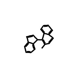 Cc1ccc2ccccc2c1C1C=Cc2ccccc21